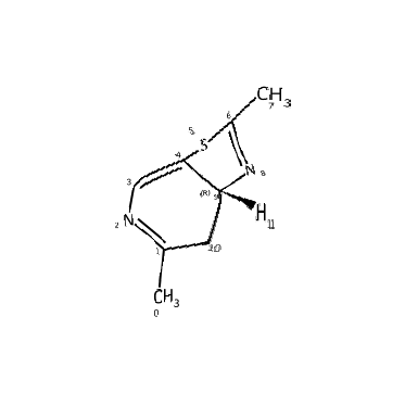 CC1=NC=C2SC(C)=N[C@@H]2C1